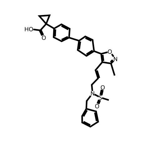 Cc1noc(-c2ccc(-c3ccc(C4(C(=O)O)CC4)cc3)cc2)c1C=CCN(Cc1ccccc1)S(C)(=O)=O